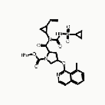 C=CC1CC1N(C(=O)NS(=O)(=O)C1CC1)C(=O)C1CC(Oc2nccc3cccc(C)c23)CN1C(=O)OC(C)(C)C